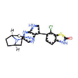 N[C@H]1C[C@H]2CC[C@@H](C1)N2c1cnc2c(-c3ccc4[nH]c(=O)sc4c3Cl)c[nH]c2n1